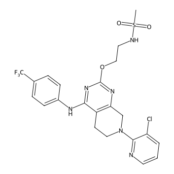 CS(=O)(=O)NCCOc1nc2c(c(Nc3ccc(C(F)(F)F)cc3)n1)CCN(c1ncccc1Cl)C2